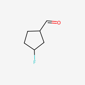 O=CC1CCC(F)C1